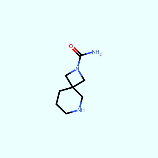 NC(=O)N1CC2(CCCNC2)C1